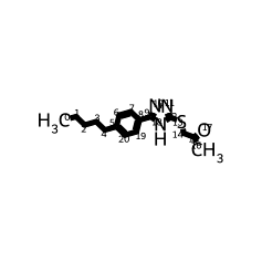 CCCCCc1ccc(-c2nnc(SCC(C)=O)[nH]2)cc1